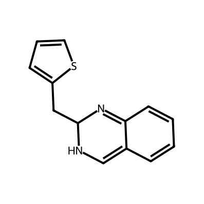 C1=c2ccccc2=NC(Cc2cccs2)N1